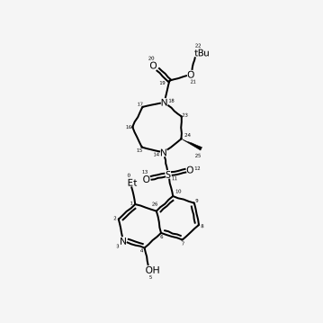 CCc1cnc(O)c2cccc(S(=O)(=O)N3CCCN(C(=O)OC(C)(C)C)C[C@H]3C)c12